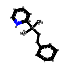 C[Si](C)(CCc1ccccc1)c1ccccn1